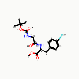 COC(=O)[C@H](Cc1ccc(F)cc1)NC(=O)CNC(=O)OC(C)(C)C